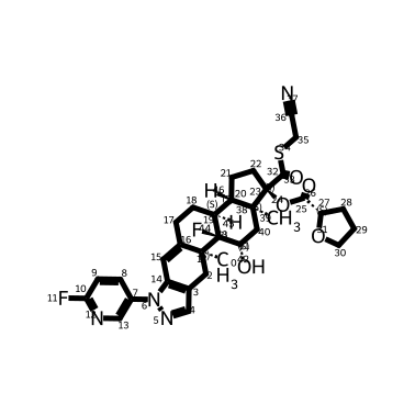 C[C@]12Cc3cnn(-c4ccc(F)nc4)c3C=C1CC[C@H]1[C@@H]3CC[C@](OC(=O)[C@@H]4CCCO4)(C(=O)SCC#N)[C@@]3(C)C[C@H](O)[C@@]12F